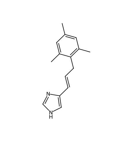 Cc1cc(C)c(CC=Cc2c[nH]cn2)c(C)c1